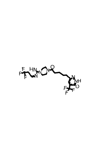 N=C(/N=C\CC(F)(F)F)N1CCN(C(=O)CCCCc2cc(C(F)(F)F)c(=O)[nH]n2)CC1